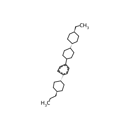 CCC[C@H]1CC[C@H](c2ccc(C3CCC([C@H]4CC[C@H](CC)CC4)CC3)cc2)CC1